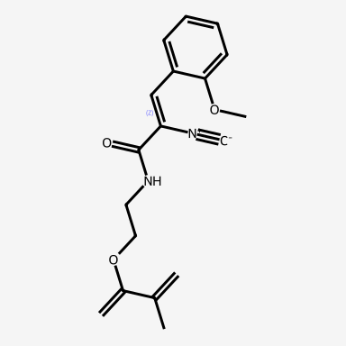 [C-]#[N+]/C(=C\c1ccccc1OC)C(=O)NCCOC(=C)C(=C)C